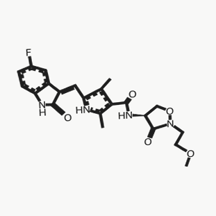 COCCN1OC[C@H](NC(=O)c2c(C)[nH]c(/C=C3\C(=O)Nc4ccc(F)cc43)c2C)C1=O